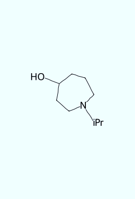 CC(C)N1CCCC(O)CC1